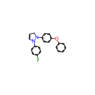 Fc1ccc(N2C=CCN2c2ccc(Oc3ccccc3)cc2)cc1